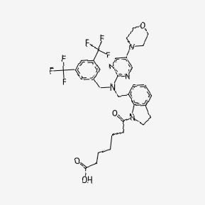 O=C(O)CCCCCC(=O)N1CCc2cccc(CN(Cc3cc(C(F)(F)F)cc(C(F)(F)F)c3)c3ncc(N4CCOCC4)cn3)c21